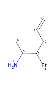 C=CCC(CC)C(C)N